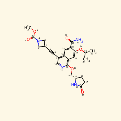 COC(=O)N1CC(C#Cc2cnc(OC[C@@H]3CCC(=O)N3)c3cc(OC(C)C)c(C(N)=O)cc23)C1